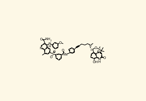 COc1cccc(Nc2c(C(N)=O)cnc3c(C)cc(S(=O)(=O)c4cccc(C(=O)Nc5ccc(C#CCCCN(C)C[C@H](O[Si](C)(C)C(C)(C)C)c6ccc(O)c7[nH]c(=O)ccc67)cc5)c4)cc23)c1